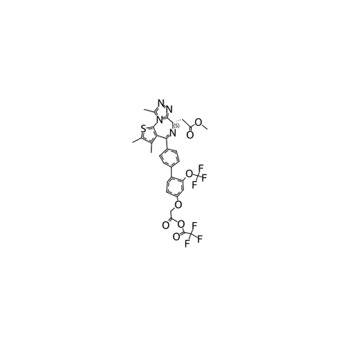 COC(=O)C[C@@H]1N=C(c2ccc(-c3ccc(OCC(=O)OC(=O)C(F)(F)F)cc3OC(F)(F)F)cc2)c2c(sc(C)c2C)-n2c(C)nnc21